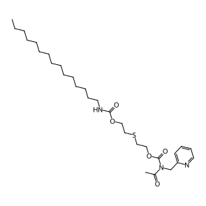 CCCCCCCCCCCCCCCNC(=O)OCCSCCOC(=O)N(Cc1ccccn1)C(C)=O